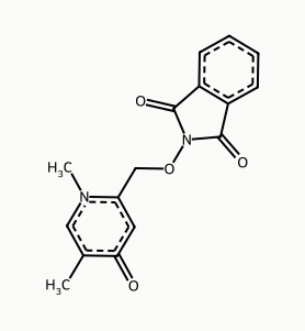 Cc1cn(C)c(CON2C(=O)c3ccccc3C2=O)cc1=O